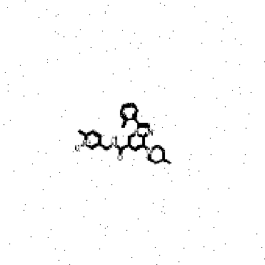 Cc1ccccc1-c1cnc2c(N3CCC(C)CC3)cc(C(=O)NCc3ccc(C)[n+]([O-])c3)cn12